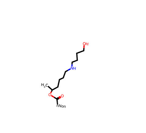 CCCCCCCCCC(=O)OC(C)CCCCNCCCCO